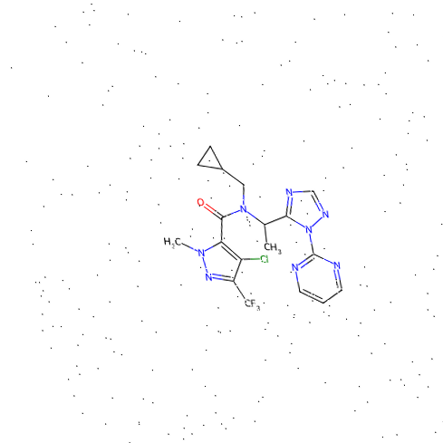 CC(c1ncnn1-c1ncccn1)N(CC1CC1)C(=O)c1c(Cl)c(C(F)(F)F)nn1C